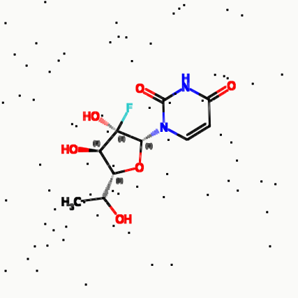 CC(O)[C@H]1O[C@@H](n2ccc(=O)[nH]c2=O)[C@](O)(F)[C@@H]1O